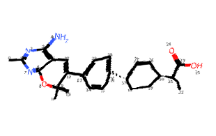 Cc1nc(N)c2c(n1)OC(C)(C)C(c1ccc([C@H]3CC[C@H](C(C)C(=O)O)CC3)cc1)=C2